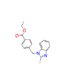 CCOC(=O)c1ccc(Cn2c(C)nc3ccccc32)cc1